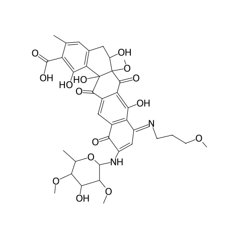 COCCC/N=C1\C=C(NC2OC(C)C(OC)C(O)C2OC)C(=O)c2cc3c(c(O)c21)C(=O)C1(OC)C(O)Cc2cc(C)c(C(=O)O)c(O)c2C1(O)C3=O